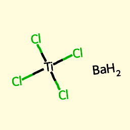 [BaH2].[Cl][Ti]([Cl])([Cl])[Cl]